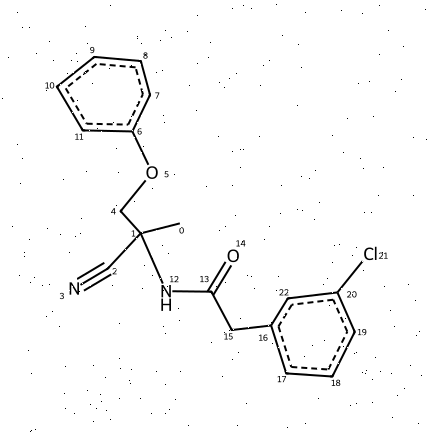 CC(C#N)(COc1ccccc1)NC(=O)Cc1cccc(Cl)c1